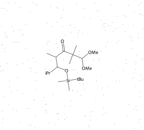 COC(OC)C(C)(C)C(=O)C(C)C(O[Si](C)(C)C(C)(C)C)C(C)C